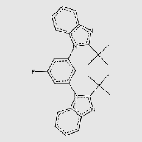 CC(C)(C)c1nc2ccccc2n1-c1cc(F)cc(-n2c(C(C)(C)C)nc3ccccc32)c1